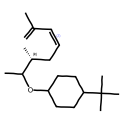 C=C(C)/C=C\C[C@@H](C)C(C)OC1CCC(C(C)(C)C)CC1